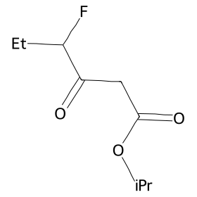 CCC(F)C(=O)CC(=O)OC(C)C